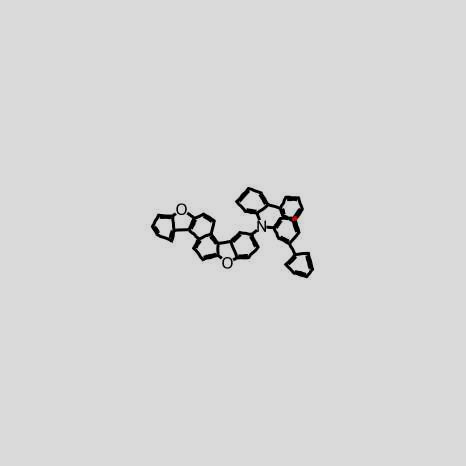 c1ccc(-c2cccc(N(c3ccc4oc5ccc6c(ccc7oc8ccccc8c76)c5c4c3)c3ccccc3-c3ccccc3)c2)cc1